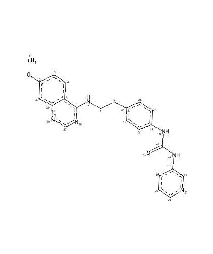 COc1ccc2c(NCCc3ccc(NC(=O)Nc4cccnc4)cc3)ncnc2c1